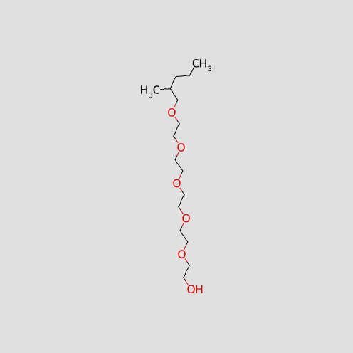 CCCC(C)COCCOCCOCCOCCOCCO